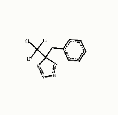 ClC(Cl)(Cl)C1(Cc2ccccc2)N=NN=N1